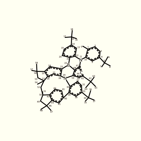 Cc1ccc(C(C)(C)C)cc1N1c2cc(C(C)(C)C)ccc2B2c3cc4c5cc3N(c3ccc(C(C)(C)C)cc3-c3ccc6c(c3)C(C)(C)CC6(C)CC5(C)CC4(C)C)c3cc(C(C)(C)C)cc1c32